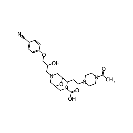 CC(=O)N1CCN(CCC2C3CN(CC(O)COc4ccc(C#N)cc4)CC(CN2C(=O)O)O3)CC1